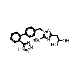 CCCCc1nc(CC(O)O)nn1Cc1ccc(-c2ccccc2-c2nnn[nH]2)cc1